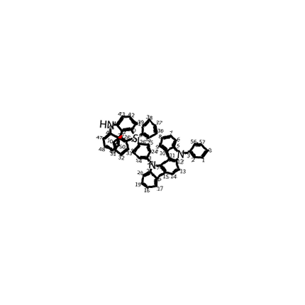 c1ccc(-n2c3ccccc3c3c2ccc2c4ccccc4n(-c4ccc([Si](c5ccccc5)(c5ccccc5)c5cccc6[nH]c7ccccc7c56)cc4)c23)cc1